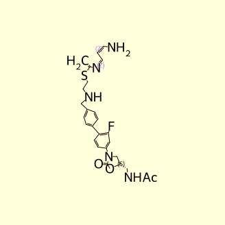 C=C(/N=C\C=C/N)SCCNCc1ccc(-c2ccc(N3C[C@H](CNC(C)=O)OC3=O)cc2F)cc1